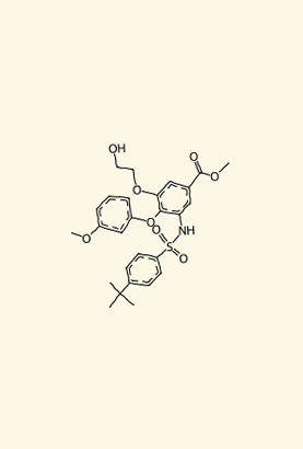 COC(=O)c1cc(NS(=O)(=O)c2ccc(C(C)(C)C)cc2)c(Oc2cccc(OC)c2)c(OCCO)c1